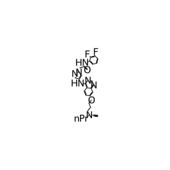 C#CN(CCC)CCCOc1ccc2c(Nc3cnn(CC(=O)Nc4cccc(F)c4F)c3)ncnc2c1